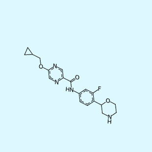 O=C(Nc1ccc(C2CNCCO2)c(F)c1)c1cnc(OCC2CC2)cn1